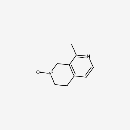 Cc1nccc2c1C[S+]([O-])CC2